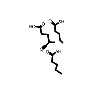 CC(C#N)CCC(=O)O.CCCCC(=O)S.CCCCC(=O)S